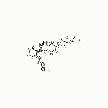 COCOc1ccccc1-c1cc2ccc(C3CC4(CC(C=O)C4)C3)cc2nn1